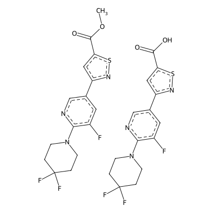 COC(=O)c1cc(-c2cnc(N3CCC(F)(F)CC3)c(F)c2)ns1.O=C(O)c1cc(-c2cnc(N3CCC(F)(F)CC3)c(F)c2)ns1